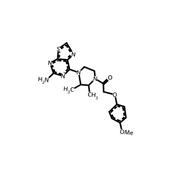 COc1ccc(OCC(=O)N2CCN(c3nc(N)nc4scnc34)C(C)C2C)cc1